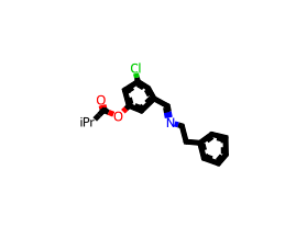 CC(C)C(=O)Oc1cc(Cl)cc(C=NCCc2ccccc2)c1